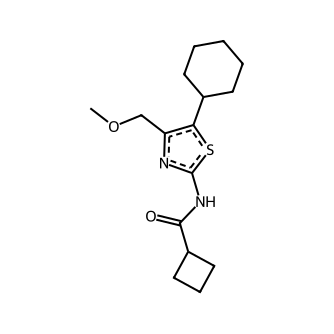 COCc1nc(NC(=O)C2CCC2)sc1C1CCCCC1